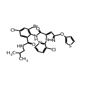 CC(C)CNC(=O)c1cc(Cl)cc(Br)c1NC(=O)c1cc(Oc2ccsc2)nn1-c1ncccc1Cl